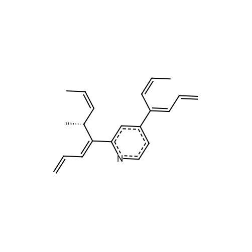 C=C/C=C(\C=C/C)c1ccnc(/C(=C/C=C)[C@H](C)/C=C\C)c1